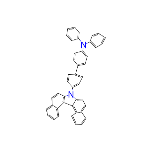 c1ccc(N(c2ccccc2)c2ccc(-c3ccc(-n4c5ccc6ccccc6c5c5c6ccccc6ccc54)cc3)cc2)cc1